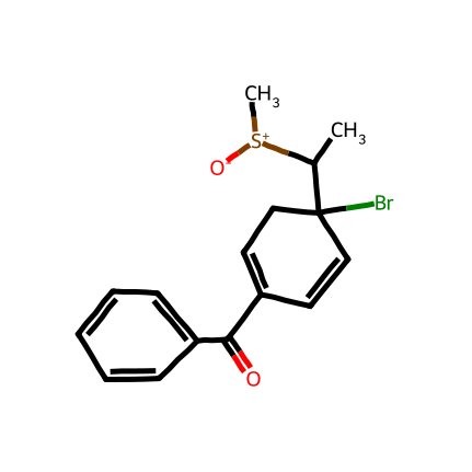 CC([S+](C)[O-])C1(Br)C=CC(C(=O)c2ccccc2)=CC1